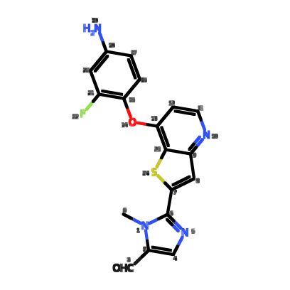 Cn1c(C=O)cnc1-c1cc2nccc(Oc3ccc(N)cc3F)c2s1